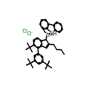 CCCCC1=Cc2c(ccc(C(C)(C)C)c2-c2cc(C(C)(C)C)cc(C(C)(C)C)c2)[CH]1[Zr+2]1[c]2cccc3c2[SiH]1c1ccccc1-3.[Cl-].[Cl-]